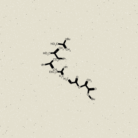 C=C(C(=O)O)C(C)C.C=C(CC(C)C)C(=O)O.C=C(CCC)C(=O)OCC.C=C(CCCC)C(=O)O.C=CC(=O)OC(=C)C(=O)OC(C)CC